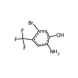 Nc1cc(C(F)(F)F)c(Br)cc1O